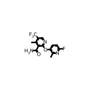 Cc1nc(F)ccc1Oc1ncc(C(F)(F)F)c(C)c1C(N)=O